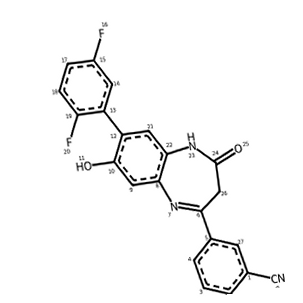 N#Cc1cccc(C2=Nc3cc(O)c(-c4cc(F)ccc4F)cc3NC(=O)C2)c1